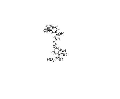 CCc1[nH]c2cc(OCCNC[C@H](O)c3cccc(NS(C)(=O)=O)c3)ccc2c1C(CC)C(=O)O